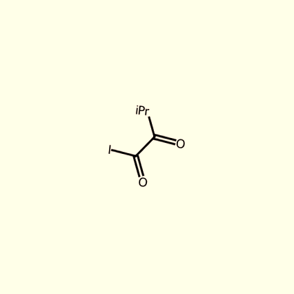 CC(C)C(=O)C(=O)I